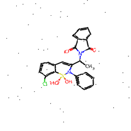 CC(C1=Cc2cccc(Cl)c2S(O)(O)N1c1ccccc1)N1C(=O)c2ccccc2C1=O